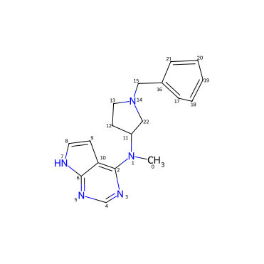 CN(c1ncnc2[nH]ccc12)C1CCN(Cc2ccccc2)C1